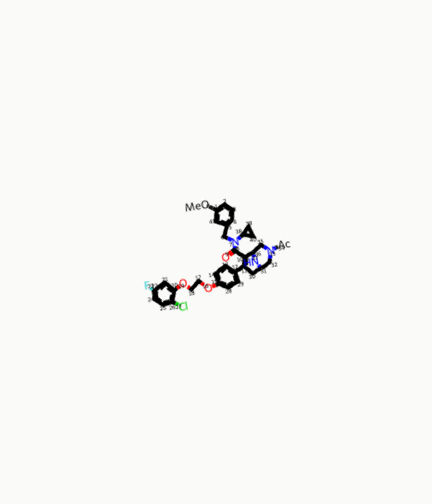 COc1cccc(CN(C(=O)C2=C(c3ccc(OCCOc4cc(F)ccc4Cl)cc3)CC3CN(C(C)=O)CC2N3)C2CC2)c1